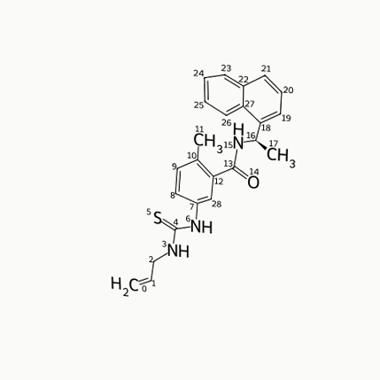 C=CCNC(=S)Nc1ccc(C)c(C(=O)N[C@H](C)c2cccc3ccccc23)c1